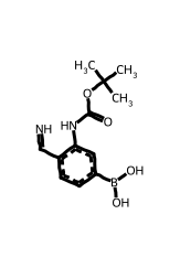 CC(C)(C)OC(=O)Nc1cc(B(O)O)ccc1C=N